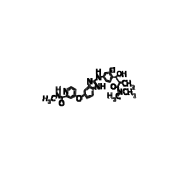 C=C(C(=O)N(C)C)C(O)c1ccc(Nc2nc3cc(Oc4ccnc(C(=O)NC)c4)ccc3[nH]2)cc1Cl